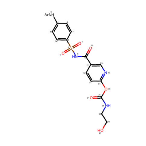 CC(=O)Nc1ccc(S(=O)(=O)NC(=O)c2ccc(OC(=O)NCCO)nc2)cc1